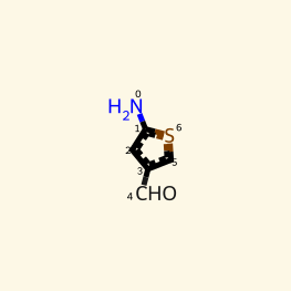 Nc1cc(C=O)cs1